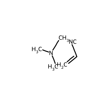 C=CC#N.CN(C)C